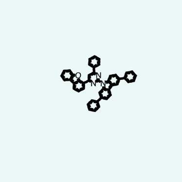 c1ccc(-c2ccc3c(c2)c2ccc(-c4ccccc4)cc2n3-c2nc(-c3ccccc3)cc(-c3cccc4c3oc3ccccc34)n2)cc1